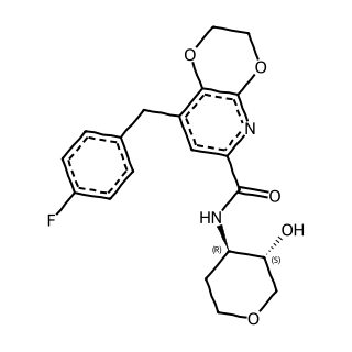 O=C(N[C@@H]1CCOC[C@H]1O)c1cc(Cc2ccc(F)cc2)c2c(n1)OCCO2